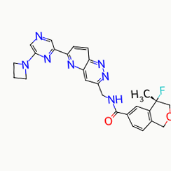 C[C@@]1(F)COCc2ccc(C(=O)NCc3cc4nc(-c5cncc(N6CCC6)n5)ccc4nn3)cc21